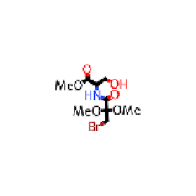 COC(=O)C(CO)NC(=O)C(CBr)(OC)OC